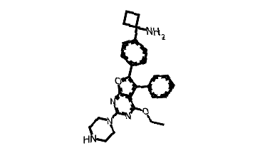 CCOc1nc(N2CCNCC2)nc2oc(-c3ccc(C4(N)CCC4)cc3)c(-c3ccccc3)c12